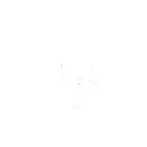 [O-][NH+]1CCCCN1